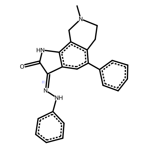 CN1CCc2c(-c3ccccc3)cc3c(c2C1)NC(=O)/C3=N/Nc1ccccc1